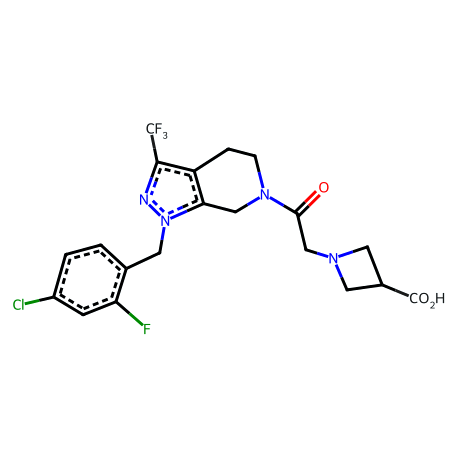 O=C(O)C1CN(CC(=O)N2CCc3c(C(F)(F)F)nn(Cc4ccc(Cl)cc4F)c3C2)C1